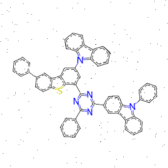 c1ccc(-c2ccc3sc4c(-c5nc(-c6ccccc6)nc(-c6ccc7c(c6)c6ccccc6n7-c6ccccc6)n5)cc(-n5c6ccccc6c6ccccc65)cc4c3c2)cc1